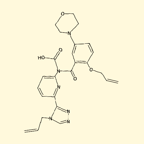 C=CCOc1ccc(N2CCOCC2)cc1C(=O)N(C(=O)O)c1cccc(-c2nncn2CC=C)n1